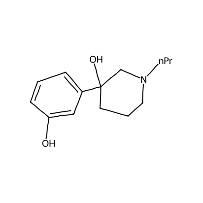 CCCN1CCCC(O)(c2cccc(O)c2)C1